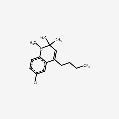 CCCCC1=CC(C)(C)N(C)c2ccc(Cl)cc21